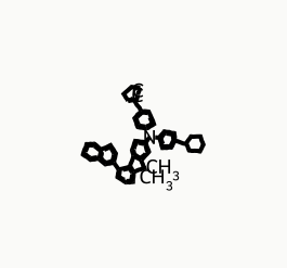 CC1(C)c2cc(N(c3ccc(C4CCCCC4)cc3)c3ccc(C4CC5CCC4CC5)cc3)ccc2-c2c(-c3ccc4ccccc4c3)cccc21